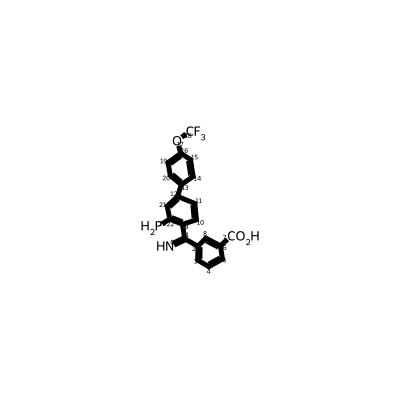 N=C(c1cccc(C(=O)O)c1)c1ccc(-c2ccc(OC(F)(F)F)cc2)cc1P